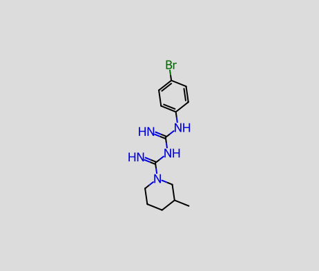 CC1CCCN(C(=N)NC(=N)Nc2ccc(Br)cc2)C1